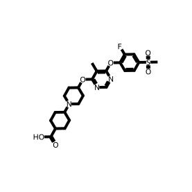 Cc1c(Oc2ccc(S(C)(=O)=O)cc2F)ncnc1OC1CCN(C2CCC(C(=O)O)CC2)CC1